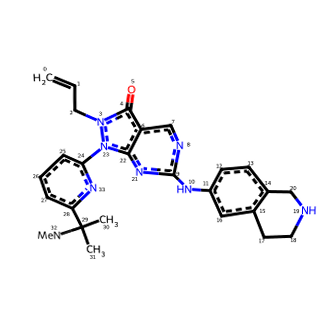 C=CCn1c(=O)c2cnc(Nc3ccc4c(c3)CCNC4)nc2n1-c1cccc(C(C)(C)NC)n1